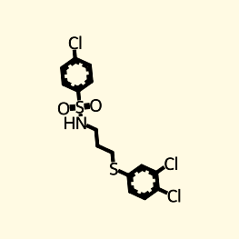 O=S(=O)(NCCCSc1ccc(Cl)c(Cl)c1)c1ccc(Cl)cc1